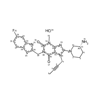 CC#CCn1c(N2CCC[C@@H](N)C2)nc2c1c(=O)n(Cc1nc3cc(F)ccc3s1)c(=O)n2C.Cl